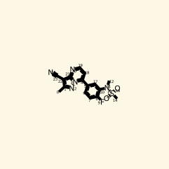 Cc1nn2c(-c3ccc(F)c(N(C)S(C)(=O)=O)c3)ccnc2c1C#N